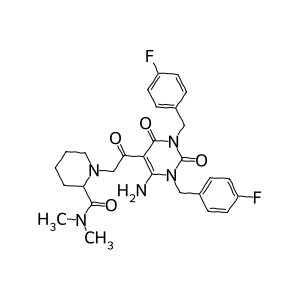 CN(C)C(=O)C1CCCCN1CC(=O)c1c(N)n(Cc2ccc(F)cc2)c(=O)n(Cc2ccc(F)cc2)c1=O